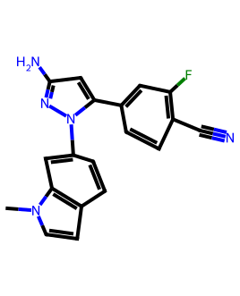 Cn1ccc2ccc(-n3nc(N)cc3-c3ccc(C#N)c(F)c3)cc21